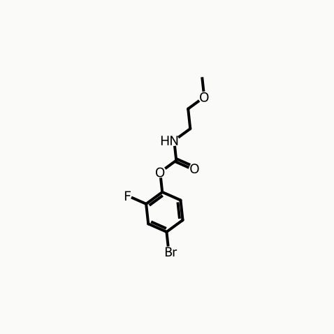 COCCNC(=O)Oc1ccc(Br)cc1F